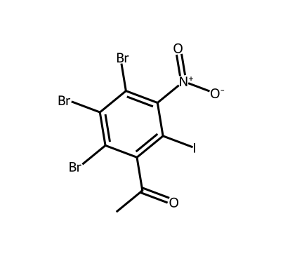 CC(=O)c1c(Br)c(Br)c(Br)c([N+](=O)[O-])c1I